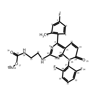 Cc1cc(F)ccc1-c1nc(NCCNC(=O)OC(C)(C)C)nc2c1ccc(=O)n2-c1c(F)cccc1F